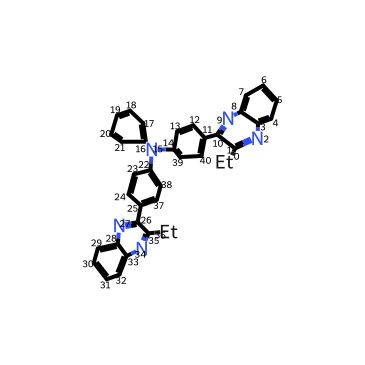 CCc1nc2ccccc2nc1-c1ccc(N(c2ccccc2)c2ccc(-c3nc4ccccc4nc3CC)cc2)cc1